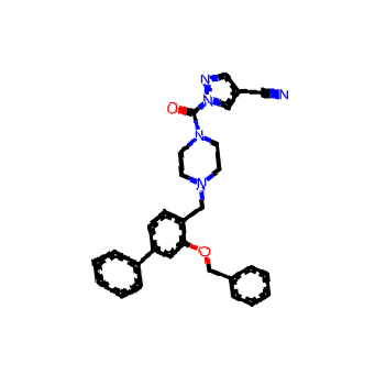 N#Cc1cnn(C(=O)N2CCN(Cc3ccc(-c4ccccc4)cc3OCc3ccccc3)CC2)c1